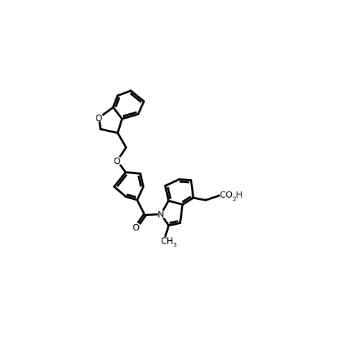 Cc1cc2c(CC(=O)O)cccc2n1C(=O)c1ccc(OCC2COc3ccccc32)cc1